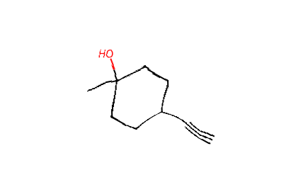 C#CC1CCC(C)(O)CC1